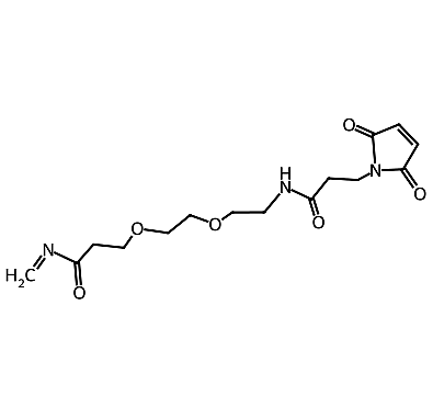 C=NC(=O)CCOCCOCCNC(=O)CCN1C(=O)C=CC1=O